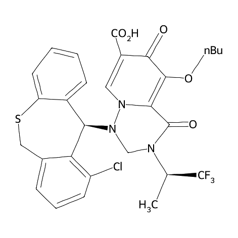 CCCCOc1c2n(cc(C(=O)O)c1=O)N([C@@H]1c3ccccc3SCc3cccc(Cl)c31)CN([C@H](C)C(F)(F)F)C2=O